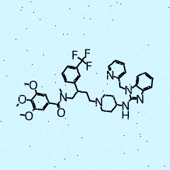 COc1cc(C(=O)N(C)CC(CCN2CCC(Nc3nc4ccccc4n3Cc3ccccn3)CC2)c2cccc(C(F)(F)F)c2)cc(OC)c1OC